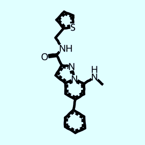 CNc1cc(-c2ccccc2)cc2cc(C(=O)NCc3cccs3)nn12